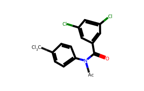 CC(=O)N(C(=O)c1cc(Cl)cc(Cl)c1)c1ccc(C(Cl)(Cl)Cl)cc1